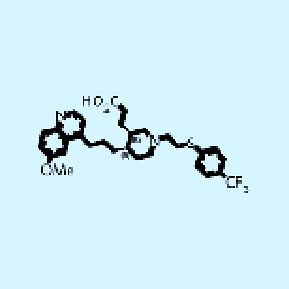 COc1ccc2nccc(CCC[C@@H]3CCN(CCSc4ccc(C(F)(F)F)cc4)C[C@@H]3CCC(=O)O)c2c1